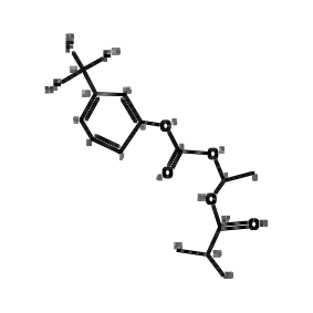 CC(OC(=O)Oc1cccc(C(F)(F)F)c1)OC(=O)C(C)C